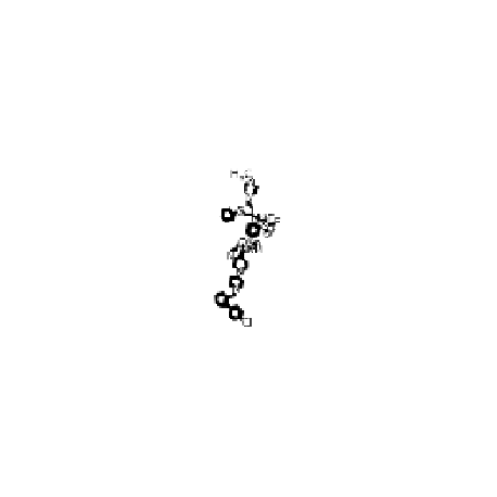 CCN1CCN(CC[C@H](CSc2ccccc2)Nc2ccc(S(=O)(=O)Nc3ncnc4c3CCN(C3CCN(Cc5ccccc5-c5ccc(Cl)cc5)CC3)C4)cc2S(=O)(=O)C(F)(F)F)CC1